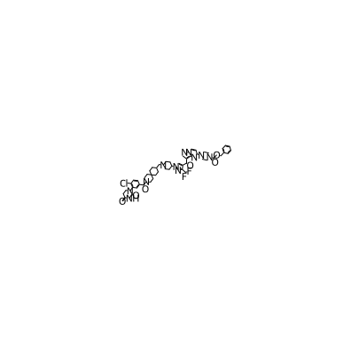 O=C1CCN(c2cc(C(=O)N3CCC4(CCC(CN5CCC(n6cc(C(=O)c7cnn8ccc(N9CCN(C(=O)OCc%10ccccc%10)CC9)nc78)c(C(F)F)n6)CC5)CC4)CC3)ccc2Cl)C(=O)N1